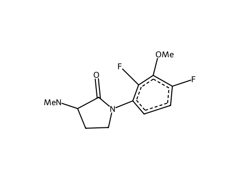 CNC1CCN(c2ccc(F)c(OC)c2F)C1=O